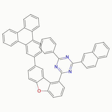 c1ccc(-c2nc(-c3ccc4ccccc4c3)nc(-c3cccc4oc5ccc(-c6ccc7c8ccccc8c8ccccc8c7c6)cc5c34)n2)cc1